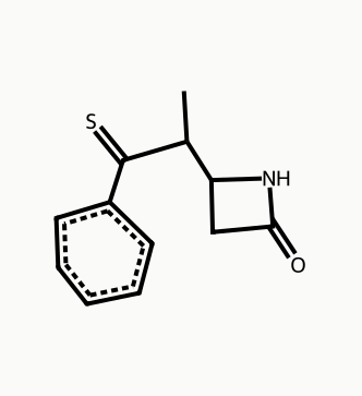 CC(C(=S)c1ccccc1)C1CC(=O)N1